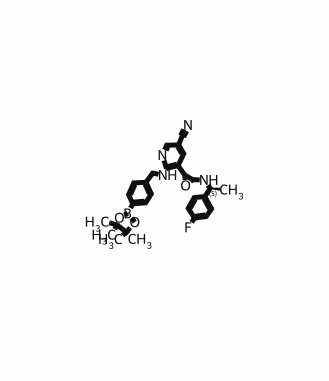 C[C@H](NC1OC1c1cc(C#N)cnc1NCc1ccc(B2OC(C)(C)C(C)(C)O2)cc1)c1ccc(F)cc1